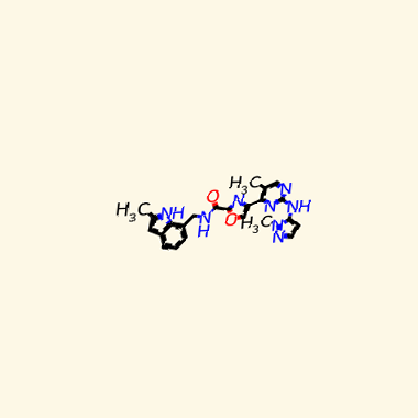 Cc1cc2cccc(CNC(=O)c3nc(-c4nc(Nc5ccnn5C)ncc4C)co3)c2[nH]1